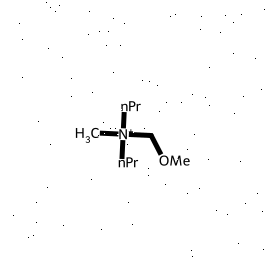 CCC[N+](C)(CCC)COC